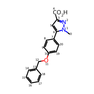 Cn1nc(C(=O)O)cc1-c1ccc(OCc2ccccc2)cc1